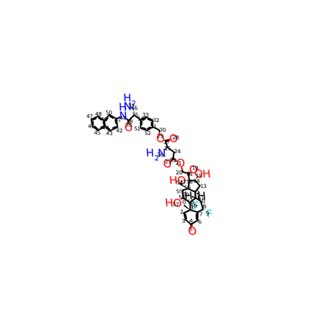 C[C@]12C=CC(=O)C=C1[C@@H](F)C[C@H]1[C@@H]3C[C@@H](O)[C@](O)(C(=O)COC(=O)C[C@@H](N)C(=O)OCc4ccc([C@@H](CN)C(=O)Nc5ccc6ccccc6c5)cc4)[C@@]3(C)C[C@H](O)[C@@]12F